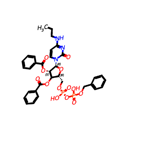 CCCNc1ccn([C@@H]2O[C@H](COP(=O)(O)OP(=O)(O)OCc3ccccc3)C(OC(=O)c3ccccc3)[C@@H]2OC(=O)c2ccccc2)c(=O)n1